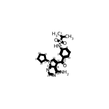 CC(C)S(=O)(=O)Nc1cccc(C(=O)c2cn(C3CCCC3)c3ncnc(N)c23)c1